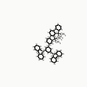 CC1(C)c2ccccc2-c2ccc3c(c21)C(C)(C)c1cc(-c2cc(-n4c5ccccc5c5ccccc54)cc(-n4c5ccccc5c5ccccc54)c2)ccc1-3